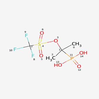 CC(C)(OS(=O)(=O)C(F)(F)F)P(=O)(O)O